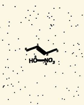 CC=CC.O=[N+]([O-])O